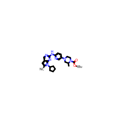 CC1CN(c2ccc(Nc3ncc4cc(C#N)n(C5CCCC5)c4n3)nc2)CCN1C(=O)OC(C)(C)C